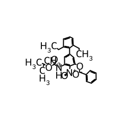 CCc1cccc(CC)c1-c1cc(NC(=O)OC(C)(C)C)c([N+](=O)[O-])c(OCc2ccccc2)c1